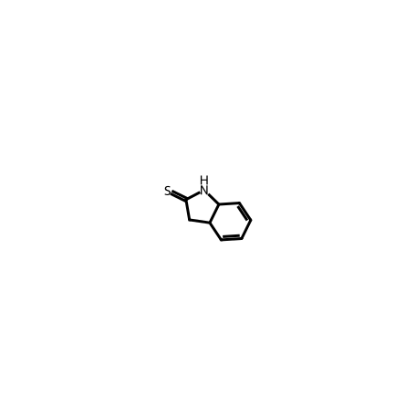 S=C1CC2C=CC=CC2N1